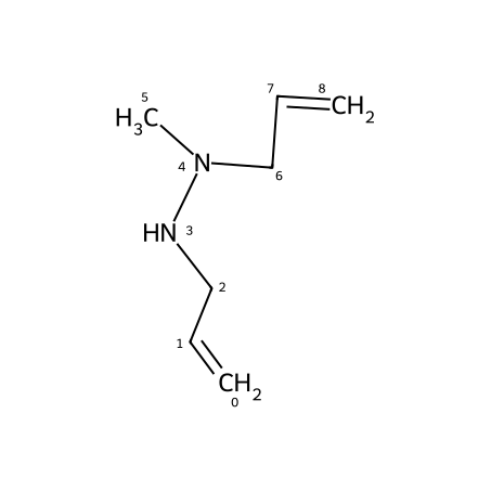 C=CCNN(C)CC=C